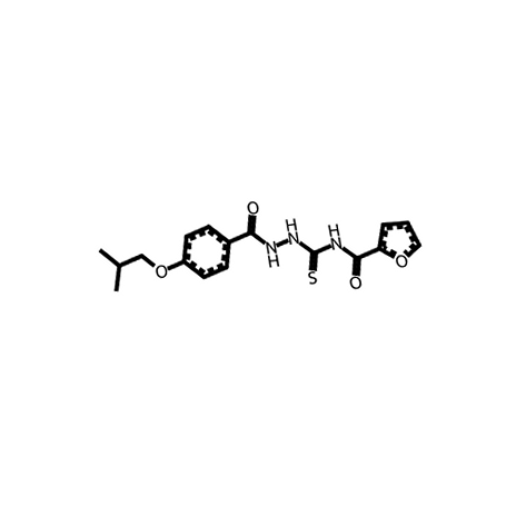 CC(C)COc1ccc(C(=O)NNC(=S)NC(=O)c2ccco2)cc1